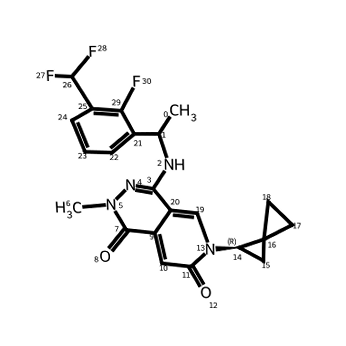 CC(Nc1nn(C)c(=O)c2cc(=O)n([C@@H]3CC34CC4)cc12)c1cccc(C(F)F)c1F